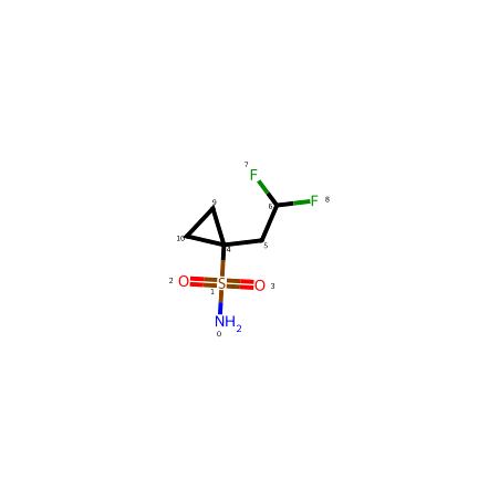 NS(=O)(=O)C1(CC(F)F)CC1